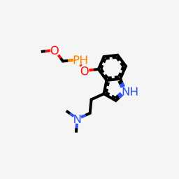 COCPOc1cccc2[nH]cc(CCN(C)C)c12